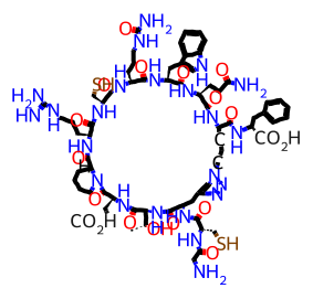 C[C@@H](O)[C@@H]1NC(=O)[C@@H](NC(=O)[C@H](CS)NC(=O)CN)Cc2cn(nn2)CCCC(C(=O)N[C@@H](Cc2ccccc2)C(=O)O)NC(=O)[C@H](CCC(N)=O)NC(=O)[C@H](Cc2c[nH]c3ccccc23)NC(=O)[C@H](CCCNC(N)=O)NC(=O)[C@H](CS)NC(=O)[C@H](CCCNC(=N)N)NC(=O)[C@@H]2CCCCN2C(=O)[C@H](CC(=O)O)NC1=O